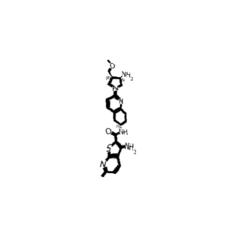 COC[C@@H]1CN(c2ccc3c(n2)CC[C@H](NC(=O)c2sc4nc(C)ccc4c2N)C3)C[C@H]1N